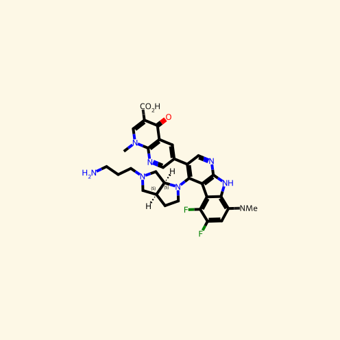 CNc1cc(F)c(F)c2c1[nH]c1ncc(-c3cnc4c(c3)c(=O)c(C(=O)O)cn4C)c(N3CC[C@H]4CN(CCCN)C[C@H]43)c12